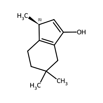 C[C@H]1C=C(O)C2=C1CCC(C)(C)C2